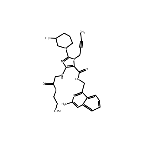 CC#CCn1c(N2CCCC(N)C2)nc(NCC(=O)OCCOC)c1C(=O)NCc1nc(C)cc2ccccc12